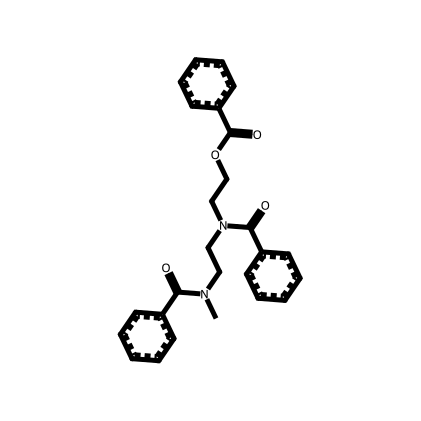 CN(CCN(CCOC(=O)c1ccccc1)C(=O)c1ccccc1)C(=O)c1ccccc1